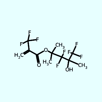 C=C(C(=O)OC(C)(C)C(F)(F)C(C)(O)C(F)(F)F)C(F)(F)F